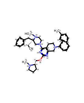 Cc1ccc2cccc(N3CCc4c(nc(OC[C@@H]5CCCN5C)nc4N4CCN(C(=O)O)[C@](CC#N)(Cc5ccccc5)C4)C3)c2c1